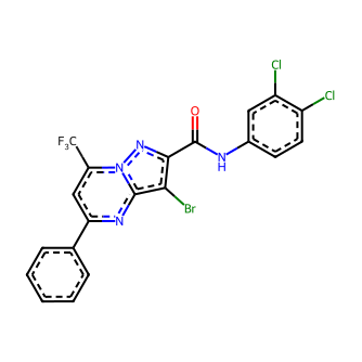 O=C(Nc1ccc(Cl)c(Cl)c1)c1nn2c(C(F)(F)F)cc(-c3ccccc3)nc2c1Br